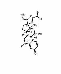 CCCCOC(=O)[C@@]1(OC(=O)C(Cl)Cl)CC[C@H]2[C@@H]3C[C@H](F)C4=CC(=O)C=C[C@]4(C)[C@H]3[C@@H](O)C[C@@]21C